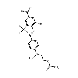 CC(=O)OCCN(C)c1ccc(N=Nc2c(Br)cc([N+](=O)[O-])cc2C(F)(F)F)cc1